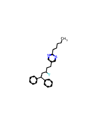 CCCCCc1ncc(CCC(F)CC(c2ccccc2)c2ccccc2)cn1